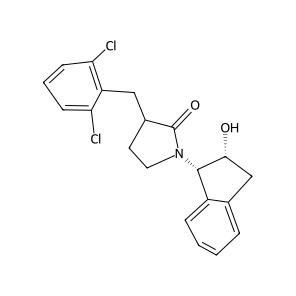 O=C1C(Cc2c(Cl)cccc2Cl)CCN1[C@H]1c2ccccc2C[C@H]1O